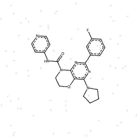 O=C(Nc1ccncc1)N1CCOc2c(N3CCCC3)nc(-c3cccc(F)c3)nc21